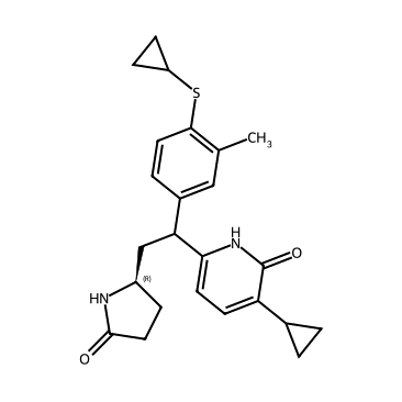 Cc1cc(C(C[C@H]2CCC(=O)N2)c2ccc(C3CC3)c(=O)[nH]2)ccc1SC1CC1